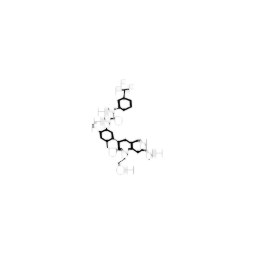 CNc1cc2c(cn1)cc(-c1cc(NC(=O)Nc3cccc(C(F)(F)F)c3)c(F)cc1C)c(=O)n2CCO